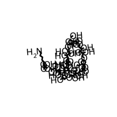 NCCCCCOP(=O)(O)OCC(O)C(O)C(O)CO[C@@H]1O[C@H](CO)C(OP(=O)(O)OCC(O)C(O)C(O)CO[C@@H]2O[C@H](CO)C(OP(=O)(O)OCC(O)C(O)C(O)CO[C@H]3CC(OP(=O)(O)OCC(O)C(O)C(O)CO[C@H]4CC(O)[C@@H](CO)O4)[C@@H](CO)O3)C2F)C1F